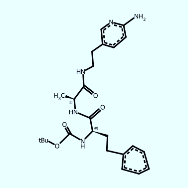 C[C@H](NC(=O)[C@@H](CCc1ccccc1)NC(=O)OC(C)(C)C)C(=O)NCCc1ccc(N)nc1